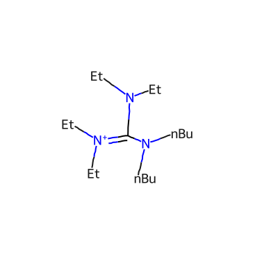 CCCCN(CCCC)C(N(CC)CC)=[N+](CC)CC